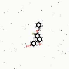 Oc1ccc(C2=C(Br)CCc3cc(OCc4ccccc4)c(F)cc32)cc1